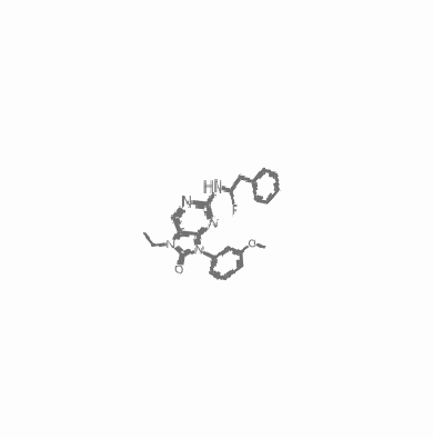 CCn1c(=O)n(-c2cccc(OC)c2)c2nc(NC(F)Cc3ccccc3)ncc21